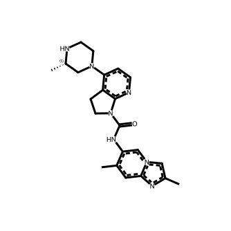 Cc1cn2cc(NC(=O)N3CCc4c(N5CCN[C@@H](C)C5)ccnc43)c(C)cc2n1